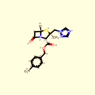 C[C@@]1(Cn2cncn2)S[C@H]2CC(=O)N2[C@H]1C(=O)OCc1ccc([N+](=O)[O-])cc1